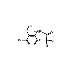 CC(C)Oc1c(C(=O)O)cccc1C(C)C.O=C(O)C(Cl)(Cl)Cl